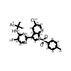 CC(=O)C(C)(C)Nc1nc(-c2cn(S(=O)(=O)c3ccc(C)cc3)c3ncc(Cl)cc23)ncc1F